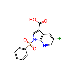 O=C(O)c1cn(S(=O)(=O)c2ccccc2)c2ncc(Br)cc12